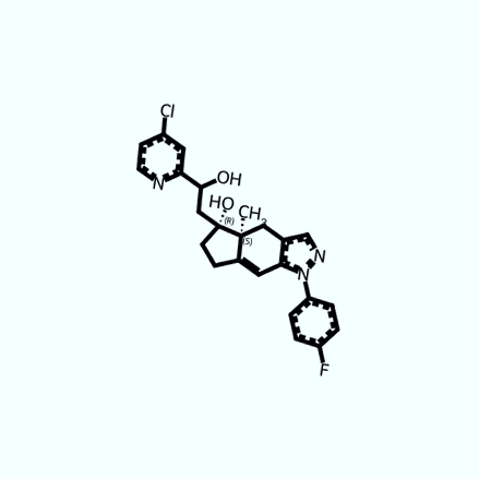 C[C@]12Cc3cnn(-c4ccc(F)cc4)c3C=C1CC[C@@]2(O)CC(O)c1cc(Cl)ccn1